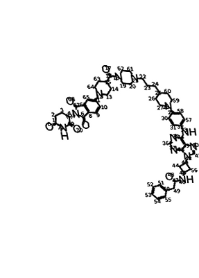 O=C1CC[C@H](N2C(=O)c3ccc(N4CCC(C(=O)N5CCN(CCCC6CCN(c7ccc(Nc8ncnc9c8ncn9C8CC(NC(=O)Cc9ccccc9)C8)cc7)CC6)CC5)CC4)cc3C2=O)C(=O)N1